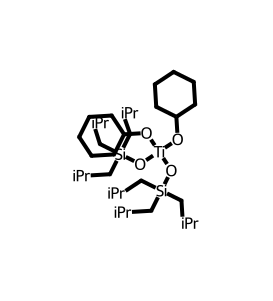 CC(C)C[Si](CC(C)C)(CC(C)C)[O][Ti]([O]C1CCCCC1)([O]C1CCCCC1)[O][Si](CC(C)C)(CC(C)C)CC(C)C